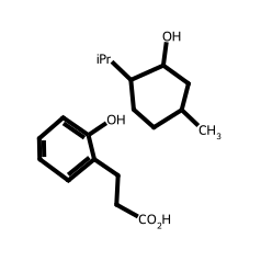 CC1CCC(C(C)C)C(O)C1.O=C(O)CCc1ccccc1O